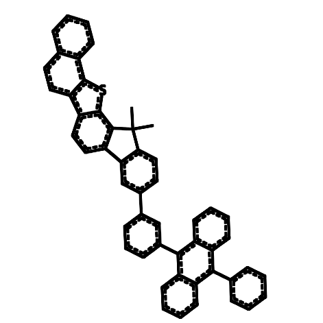 CC1(C)c2ccc(-c3cccc(-c4c5ccccc5c(-c5ccccc5)c5ccccc45)c3)cc2-c2ccc3c(sc4c5ccccc5ccc34)c21